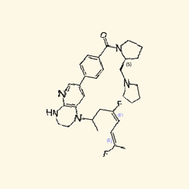 C/C(F)=C\C=C(\F)CC(C)N1CCNc2ncc(-c3ccc(C(=O)N4CCC[C@H]4CN4CCCC4)cc3)cc21